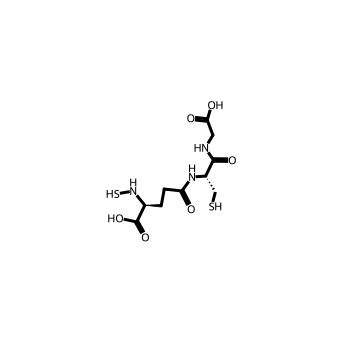 O=C(O)CNC(=O)[C@H](CS)NC(=O)CC[C@H](NS)C(=O)O